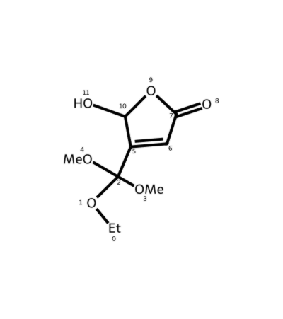 CCOC(OC)(OC)C1=CC(=O)OC1O